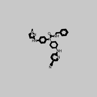 Cn1ccc(Nc2ccc(N(C(=O)NCc3ccccc3)[C@H]3CC[C@H](Nc4ccc(C#N)cn4)CC3)cc2)n1